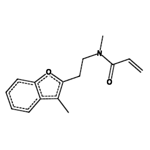 C=CC(=O)N(C)CCc1oc2ccccc2c1C